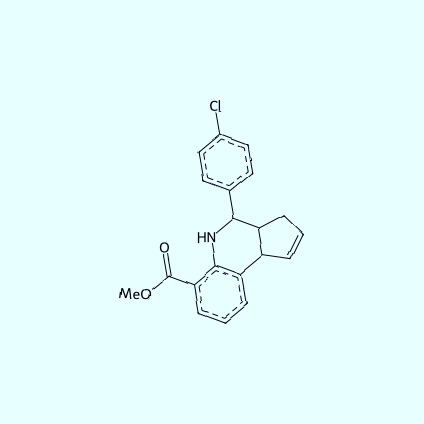 COC(=O)c1cccc2c1NC(c1ccc(Cl)cc1)C1CC=CC21